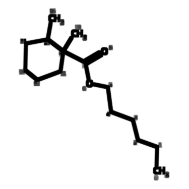 CCCCCCOC(=O)C1(C)CCCCC1C